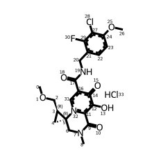 COC[C@@H]1C[C@]12CN(C)C(=O)c1c(O)c(=O)c(C(=O)NCc3ccc(OC)c(Cl)c3F)cn12.Cl